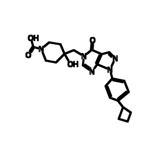 O=C(O)N1CCC(O)(Cn2cnc3c(cnn3-c3ccc(C4CCC4)cc3)c2=O)CC1